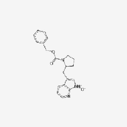 O=C(OCc1ccccc1)N1CCCC1CC1=C[NH+]([O-])c2ncccc21